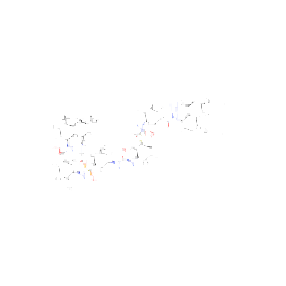 Cc1ccc(C(=O)Nc2ccc(S(=O)(=O)O)c3cc(S(=O)(=O)O)cc(S(=O)(=O)O)c23)cc1NS(=O)(=O)c1cc(NC(=O)Nc2ccc(C)c(S(=O)(=O)Nc3cc(C(=O)Nc4ccc(S(=O)(=O)O)c5cc(S(=O)(=O)O)cc(S(=O)(=O)O)c45)ccc3C)c2)ccc1C